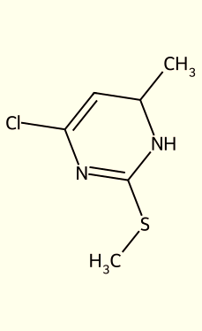 CSC1=NC(Cl)=CC(C)N1